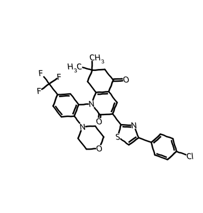 CC1(C)CC(=O)c2cc(-c3nc(-c4ccc(Cl)cc4)cs3)c(=O)n(-c3cc(C(F)(F)F)ccc3N3CCOCC3)c2C1